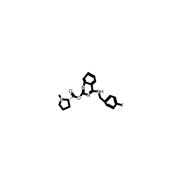 CN1CCC[C@H]1C(=O)Oc1nc(NCc2ccc(F)cc2)c2ccccc2n1